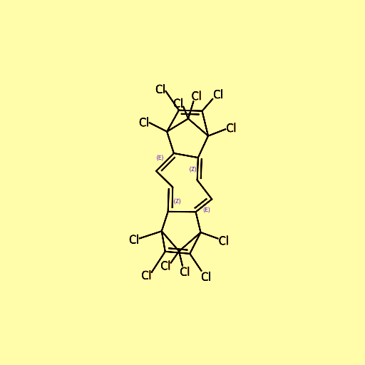 ClC1=C(Cl)C2(Cl)C3=C/C=C4/C(=C\C=C\3C1(Cl)C2(Cl)Cl)C1(Cl)C(Cl)=C(Cl)C4(Cl)C1(Cl)Cl